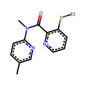 CCSc1cccnc1C(=O)N(C)c1ccc(C)cn1